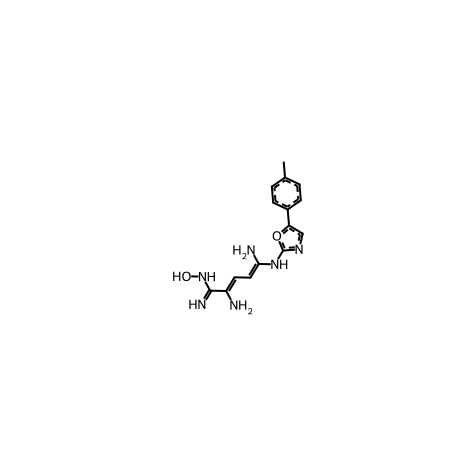 Cc1ccc(-c2cnc(N/C(N)=C/C=C(\N)C(=N)NO)o2)cc1